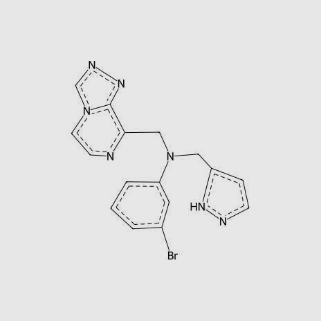 Brc1cccc(N(Cc2ccn[nH]2)Cc2nccn3cnnc23)c1